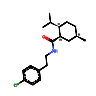 CC(C)[C@@H]1CC[C@@H](C)C[C@H]1C(=O)NCCc1ccc(Cl)cc1